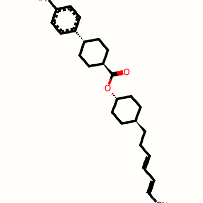 CCCc1ccc([C@H]2CC[C@H](C(=O)O[C@H]3CC[C@H](CCC=CC=CC#N)CC3)CC2)cc1